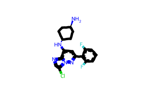 N[C@H]1CC[C@H](Nc2cc(-c3c(F)cccc3F)nn3c(Cl)cnc23)CC1